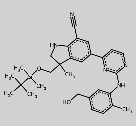 Cc1ccc(CO)cc1Nc1nccc(-c2cc(C#N)c3c(c2)C(C)(CO[Si](C)(C)C(C)(C)C)CN3)n1